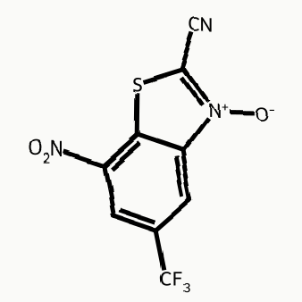 N#Cc1sc2c([N+](=O)[O-])cc(C(F)(F)F)cc2[n+]1[O-]